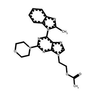 CC(=O)OCCn1cnc2c(-n3c(C)nc4ccccc43)nc(N3CCOCC3)nc21